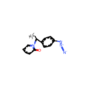 CC(c1ccc(N=[N+]=[N-])cc1)n1ccccc1=O